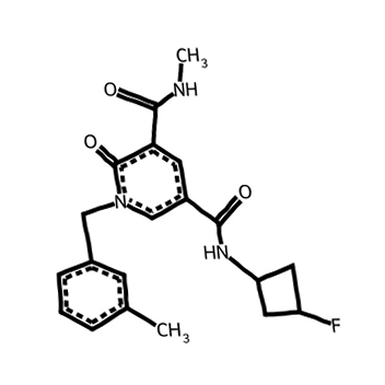 CNC(=O)c1cc(C(=O)NC2CC(F)C2)cn(Cc2cccc(C)c2)c1=O